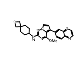 COc1nc(NC2CCC3(CC2)COC3)nn2ccc(-c3ccc4nccnc4c3)c12